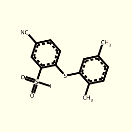 Cc1ccc(C)c(Sc2ccc(C#N)cc2S(=O)(=O)I)c1